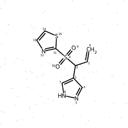 C=CC(c1cn[nH]c1)S(=O)(=O)c1nccs1